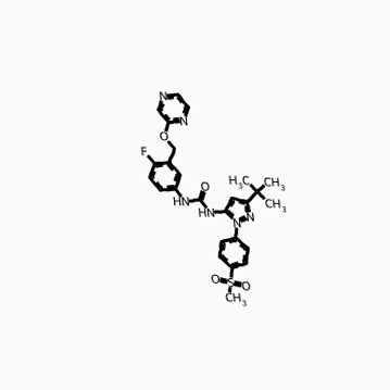 CC(C)(C)c1cc(NC(=O)Nc2ccc(F)c(COc3cnccn3)c2)n(-c2ccc(S(C)(=O)=O)cc2)n1